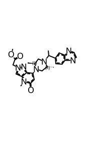 COC(=O)Cn1cc2c(n1)c(N1C[C@@H](C)N(C(C)c3ccc4nccnc4c3)C[C@@H]1C)cc(=O)n2C